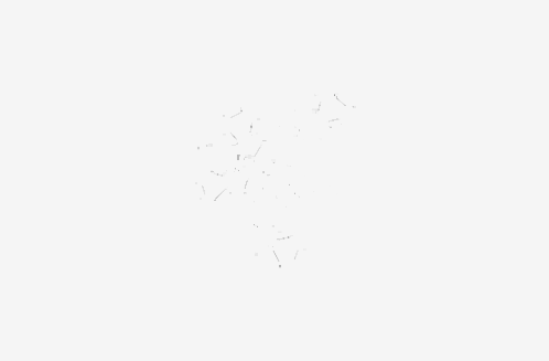 CCCCC1(N(C)C)CCC(c2[nH]c3ccccc3c2CCN2CCc3ccccc3C2)(c2[nH]c3ccccc3c2CCN2CCc3ccccc3C2)CC1.Cl